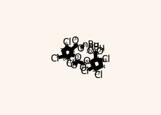 CCCCOC(=O)c1c(Cl)cc(Cl)c(Cl)c1OC(=O)C(=O)Oc1c(Cl)c(Cl)cc(Cl)c1C(=O)OCCCC